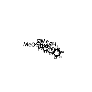 CO[SiH](CCCN(Cc1ccccc1)[Si](C)(C)C(C)(C)C)OC